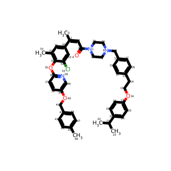 CC(=CC(=O)N1CCN(Cc2ccc(CCOc3ccc(C(C)C)cc3)cc2)CC1)c1cc(C)c(Oc2ccc(OCc3ccc(C)cc3)cn2)c(Cl)c1